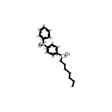 CCCCCC[CH2][Co](=[O])[c]1cc[c]([Co](=[O])[c]2ccccc2)cc1